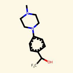 CN1CCN(c2ccc(C(O)C(F)(F)F)cc2)CC1